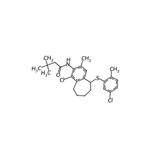 Cc1ccc(Cl)cc1SC1CCCCc2c1cc(C)c(NC(=O)CC(C)(C)C)c2Cl